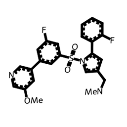 CNCc1cc(-c2ccccc2F)n(S(=O)(=O)c2cc(F)cc(-c3cncc(OC)c3)c2)c1